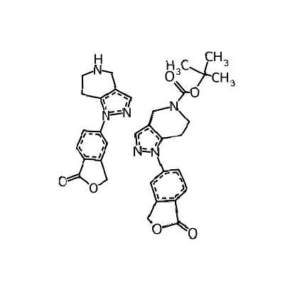 CC(C)(C)OC(=O)N1CCc2c(cnn2-c2ccc3c(c2)COC3=O)C1.O=C1OCc2cc(-n3ncc4c3CCNC4)ccc21